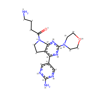 NCCCC(=O)N1CCc2c(-c3cnc(N)nc3)nc(N3CCOCC3)nc21